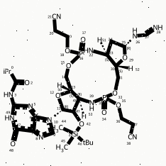 CC(C)C(=O)Nc1nc2c(ncn2[C@@H]2O[C@@H]3COP(=O)(OCCC#N)N[C@H]4C[C@H](NC=N)O[C@@H]4COP(=O)(OCCC#N)N[C@H]3C2O[Si](C)(C)C(C)(C)C)c(=O)[nH]1